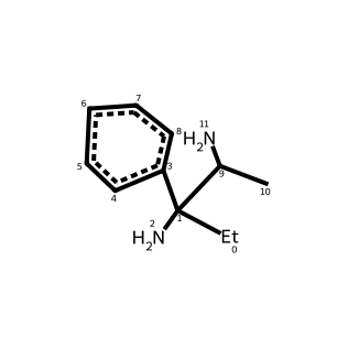 CCC(N)(c1ccccc1)C(C)N